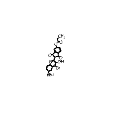 C=CC(=O)Oc1ccc2c(c1)C(=O)C(c1nc3ccc(CCCC)cc3c(Br)c1O)C2=O